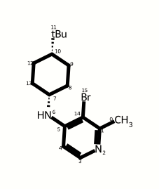 Cc1nccc(N[C@H]2CC[C@@H](C(C)(C)C)CC2)c1Br